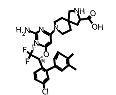 Cc1ccc(-c2cc(Cl)ccc2[C@@H](Oc2cc(N3CCC4(CC3)CNC(C(=O)O)C4)nc(N)n2)C(F)(F)F)cc1C